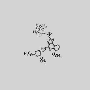 COc1ccc(CNc2nc3c(OC)cccc3c3nc(C45CC(C4)N(C(=O)OC(C)(C)C)C5)nn23)c(OC)c1